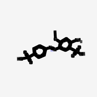 COc1cc(N)c(S(=O)(=O)O)cc1/N=N/c1ccc(S(=O)(=O)O)cc1